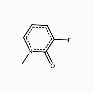 Cn1cccc(F)c1=O